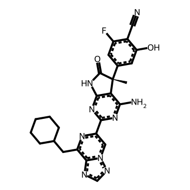 C[C@]1(c2cc(O)c(C#N)c(F)c2)C(=O)Nc2nc(-c3cn4ncnc4c(CC4CCCCC4)n3)nc(N)c21